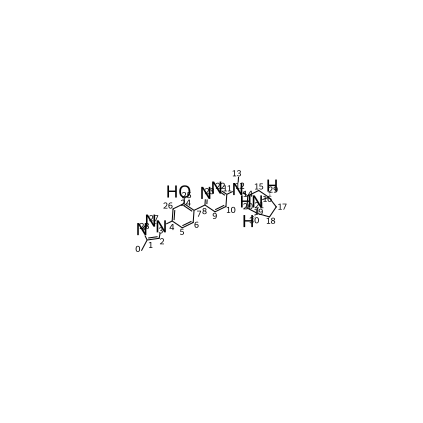 Cc1cn(-c2ccc(-c3ccc(N(C)[C@H]4C[C@H]5CC[C@@H](C4)N5)nn3)c(O)c2)nn1